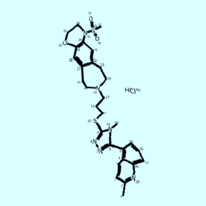 Cc1ccc2c(-c3nnc(SCCCN4CCc5cc6c(cc5CC4)N(S(C)(=O)=O)CCO6)n3C)cccc2n1.Cl